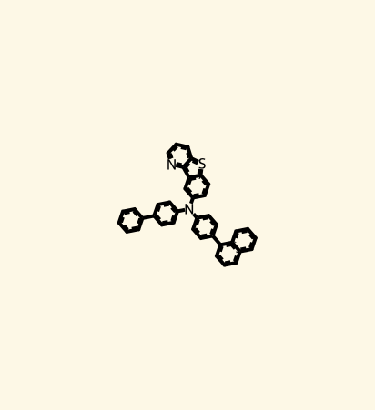 c1ccc(-c2ccc(N(c3ccc(-c4cccc5ccccc45)cc3)c3ccc4sc5cccnc5c4c3)cc2)cc1